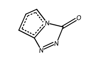 O=C1N=Nc2cccn21